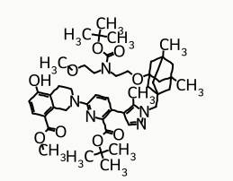 COCCN(CCOC12CC3(C)CC(C)(CC(Cn4ncc(-c5ccc(N6CCc7c(O)ccc(C(=O)OC)c7C6)nc5C(=O)OC(C)(C)C)c4C)(C3)C1)C2)C(=O)OC(C)(C)C